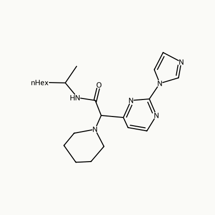 CCCCCCC(C)NC(=O)C(c1ccnc(-n2ccnc2)n1)N1CCCCC1